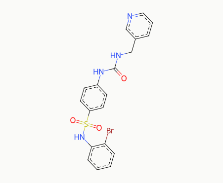 O=C(NCc1cccnc1)Nc1ccc(S(=O)(=O)Nc2ccccc2Br)cc1